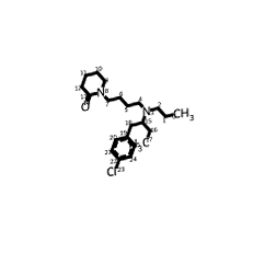 CCCN(CCCCN1CCCCC1=O)C(CC)Cc1ccc(Cl)cc1